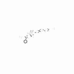 CCc1nc(SC(=N)N2CC3(CN(CC(=O)N4CC(O)C4)C3)C2)[nH]c1N(C)c1nc(-c2ccc(F)cc2)c(C#N)s1